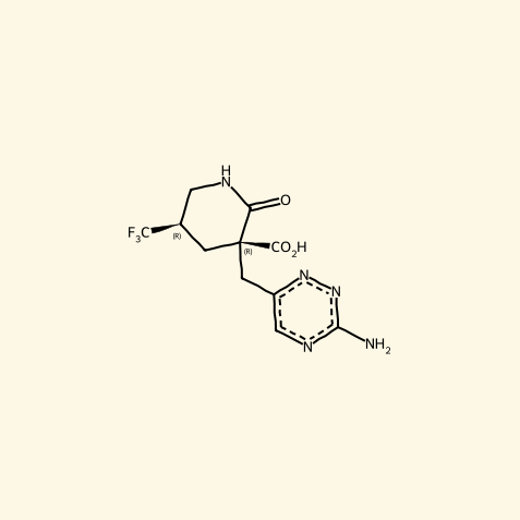 Nc1ncc(C[C@]2(C(=O)O)C[C@@H](C(F)(F)F)CNC2=O)nn1